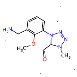 COc1c(CN)cccc1N1N=NN(C)C1C=O